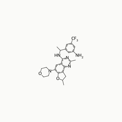 Cc1nc(NC(C)c2cc(N)cc(C(F)(F)F)c2)c2cc(N3CCOCC3)c3c(c2n1)CC(C)O3